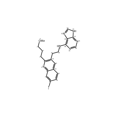 COCCCc1nc2cc(F)ccc2cc1CCNc1ncnc2[nH]cnc12